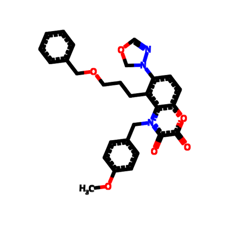 COc1ccc(Cn2c(=O)c(=O)oc3ccc(N4COC=N4)c(CCCOCc4ccccc4)c32)cc1